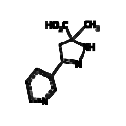 CC1(C(=O)O)CC(c2cccnc2)=NN1